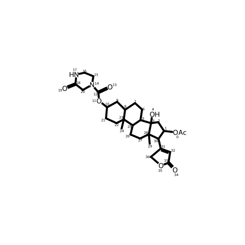 CC(=O)OC1CC2(O)C3CCC4CC(OC(=O)N5CCNC(=O)C5)CCC4(C)C3CCC2(C)C1C1=CC(=O)OC1